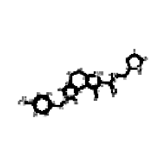 Cc1c(C(=O)NCC2CCCO2)oc2c1-c1nn(Cc3ccc(Cl)cc3)cc1CC2